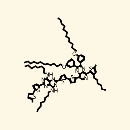 CCCCCCCCCCCCOc1cccc(-c2nc3c(-c4ccc(-c5ccc(-c6nc(NCCCCCCCC)c7nc(-c8ccc(-c9ccc(C)s9)s8)nc(NCCCCCCCC)c7n6)s5)s4)cnc(-c4sc(C)cc4CCCCCC)c3nc2-c2cccc(OCCCCCCCCCCCC)c2)c1